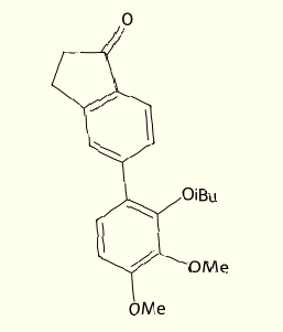 COc1ccc(-c2ccc3c(c2)CCC3=O)c(OC[C](C)C)c1OC